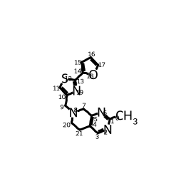 Cc1ncc2c(n1)CN(Cc1csc(-c3ccco3)n1)CC2